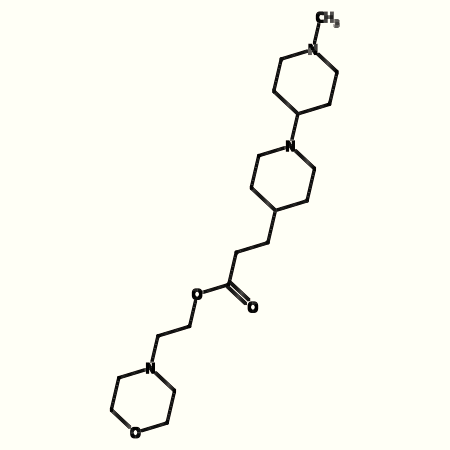 CN1CCC(N2CCC(CCC(=O)OCCN3CCOCC3)CC2)CC1